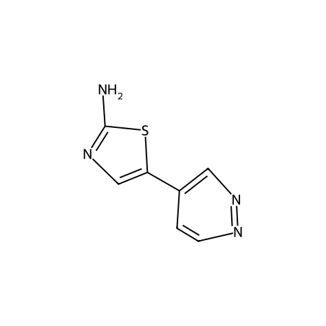 Nc1ncc(-c2ccnnc2)s1